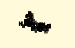 CC(C)(C1CCN(C(=O)c2ccc(C(F)(F)F)cc2S(C)(=O)=O)CC1)S(=O)(=O)c1cccc(Cl)c1